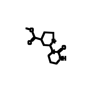 COC(=O)C1CC[N]C(N2CCCNC2=O)C1